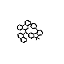 CC1(C)c2ccc(N(c3cccc4ccccc34)c3cc4ccccc4c4ccccc34)cc2-c2c(-c3ccccc3)cccc21